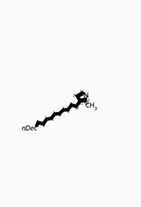 CCCCCCCCCCCCCCCCCCCCC1=C(C)[N]C=C1